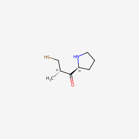 C[C@H](CS)C(=O)[C@@H]1CCCN1